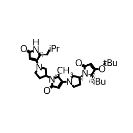 CC[C@H](C)[C@H]1C(OC(C)(C)C)=CC(=O)N1[C@H]1CCN(C2=CC(=O)N(C3CCN(C4=CC(=O)N[C@H]4CC(C)C)C3)[C@H]2C)C1